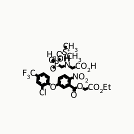 CCOC(=O)COC(=O)c1cc(Oc2ccc(C(F)(F)F)cc2Cl)ccc1[N+](=O)[O-].C[S+](C)C.O=C(O)CNCP(=O)([O-])O